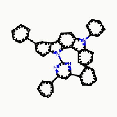 c1ccc(-c2ccc3c(c2)c2ccc4c(c5ccccc5n4-c4ccccc4)c2n3-c2nc(-c3ccccc3)cc(-c3ccccc3)n2)cc1